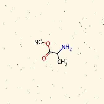 CC(N)C(=O)OC#N